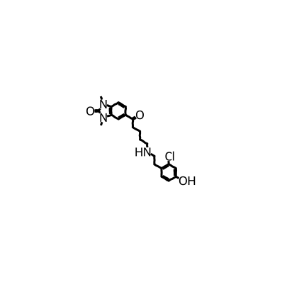 Cn1c(=O)n(C)c2cc(C(=O)CCCCNCCc3ccc(O)cc3Cl)ccc21